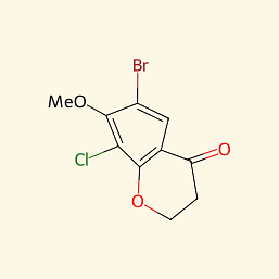 COc1c(Br)cc2c(c1Cl)OCCC2=O